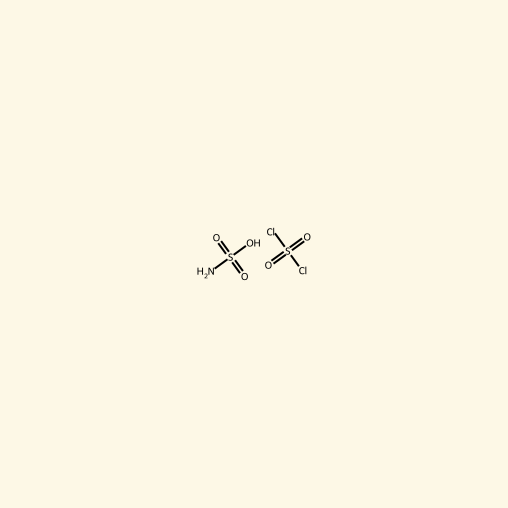 NS(=O)(=O)O.O=S(=O)(Cl)Cl